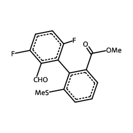 COC(=O)c1cccc(SC)c1-c1c(F)ccc(F)c1C=O